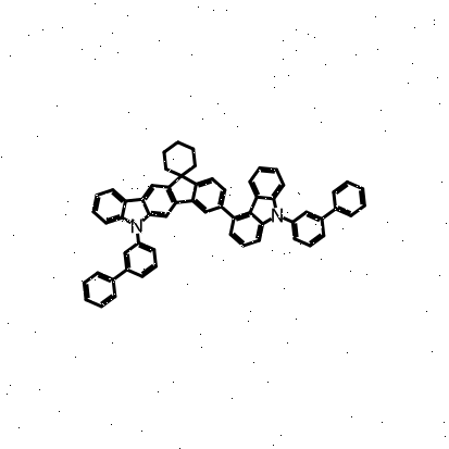 c1ccc(-c2cccc(-n3c4ccccc4c4cc5c(cc43)-c3cc(-c4cccc6c4c4ccccc4n6-c4cccc(-c6ccccc6)c4)ccc3C53CCCCC3)c2)cc1